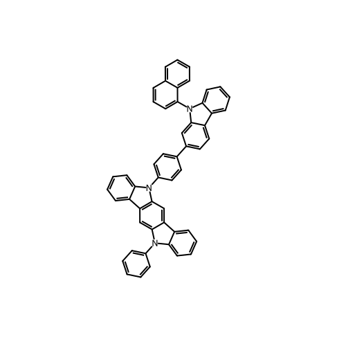 c1ccc(-n2c3ccccc3c3cc4c(cc32)c2ccccc2n4-c2ccc(-c3ccc4c5ccccc5n(-c5cccc6ccccc56)c4c3)cc2)cc1